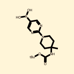 CC1(NC(=O)OC(C)(C)C)CCN(c2ncc(B(O)O)cn2)CC1